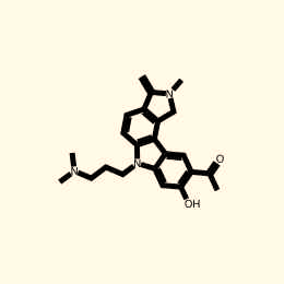 C=C1c2ccc3c(c2CN1C)c1cc(C(C)=O)c(O)cc1n3CCCN(C)C